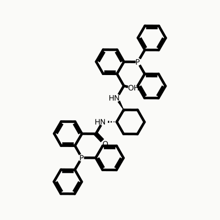 O=C(N[C@H]1CCCC[C@@H]1NC(O)c1ccccc1P(c1ccccc1)c1ccccc1)c1ccccc1P(c1ccccc1)c1ccccc1